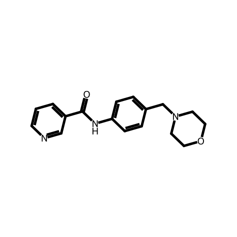 O=C(Nc1ccc(CN2CCOCC2)cc1)c1cccnc1